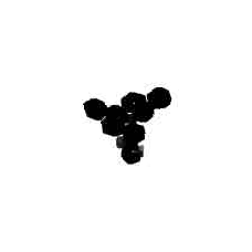 c1ccc(-c2ccc(N(c3ccc4c(c3)oc3cccnc34)c3ccc(-c4ccccc4)c4ccccc34)c3ccccc23)cc1